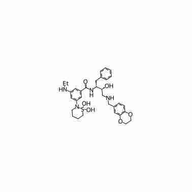 CCNc1cc(C(=O)N[C@@H](Cc2ccccc2)[C@@H](O)CNCc2ccc3c(c2)OCCO3)cc(N2CCCCS2(O)O)c1